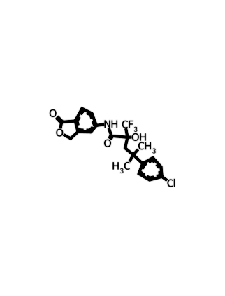 CC(C)(CC(O)(C(=O)Nc1ccc2c(c1)COC2=O)C(F)(F)F)c1ccc(Cl)cc1